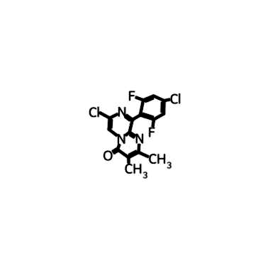 Cc1nc2c(-c3c(F)cc(Cl)cc3F)nc(Cl)cn2c(=O)c1C